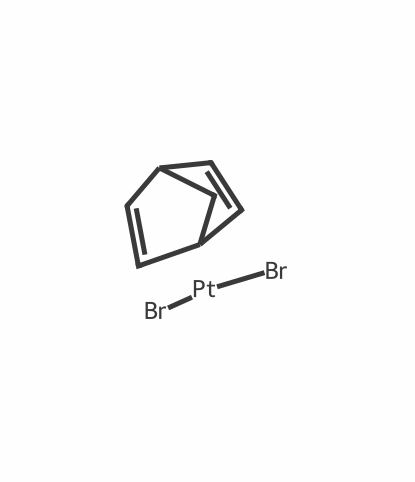 C1=CC2C=CC1C2.[Br][Pt][Br]